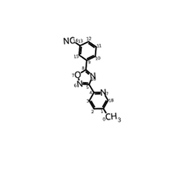 Cc1ccc(-c2noc(-c3cccc(C#N)c3)n2)nc1